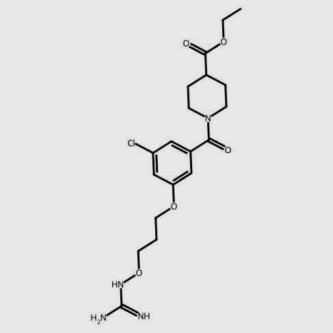 CCOC(=O)C1CCN(C(=O)c2cc(Cl)cc(OCCCONC(=N)N)c2)CC1